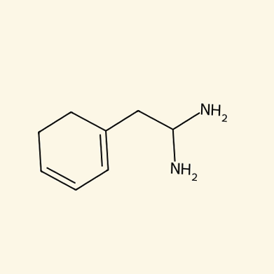 NC(N)CC1=CC=CCC1